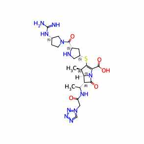 CC(NC(=O)Cn1cnnn1)[C@H]1C(=O)N2C(C(=O)O)=C(S[C@@H]3CN[C@H](C(=O)N4CC[C@H](NC(=N)N)C4)C3)[C@H](C)[C@H]12